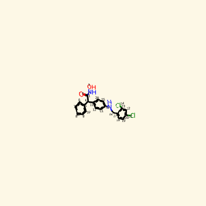 O=C(NO)C(c1ccccc1)c1ccc(NCc2ccc(Cl)cc2Cl)cc1